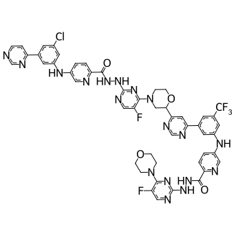 O=C(NNc1ncc(F)c(N2CCOCC2)n1)c1ccc(Nc2cc(-c3cc(C4CN(c5nc(NNC(=O)c6ccc(Nc7cc(Cl)cc(-c8ccncn8)c7)cn6)ncc5F)CCO4)ncn3)cc(C(F)(F)F)c2)cn1